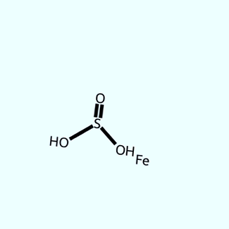 O=S(O)O.[Fe]